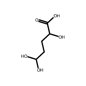 O=C(O)C(O)CCC(O)O